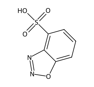 O=S(=O)(O)c1cccc2onnc12